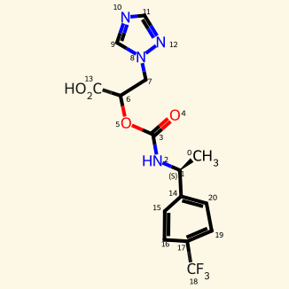 C[C@H](NC(=O)OC(Cn1cncn1)C(=O)O)c1ccc(C(F)(F)F)cc1